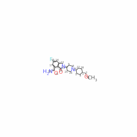 COC[C@H]1CC[C@@H](N2CCC(N3Cc4cc(F)cc(C(N)=O)c4C3=O)CC2)CC1